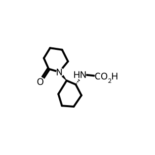 O=C(O)N[C@@H]1CCCC[C@H]1N1CCCCC1=O